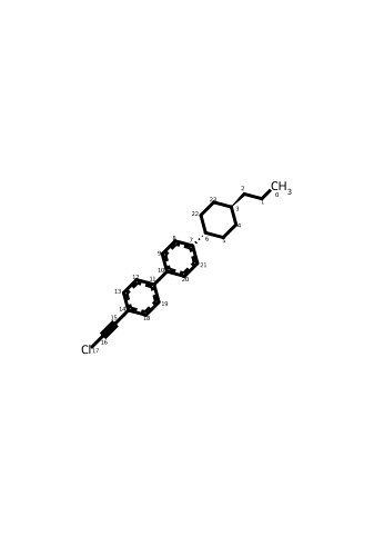 CCC[C@H]1CC[C@H](c2ccc(-c3ccc(C#CCl)cc3)cc2)CC1